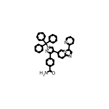 NC(=O)c1ccc(-c2nn(C(c3ccccc3)(c3ccccc3)c3ccccc3)cc2-c2ccc3ncc(-c4ccccn4)n3c2)cc1